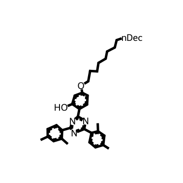 CCCCCCCCCCCCCCCCCCOc1ccc(-c2nc(-c3ccc(C)cc3C)nc(-c3ccc(C)cc3C)n2)c(O)c1